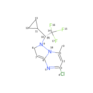 CC1=CC(Cl)=NC2=CCN([C@H](C3CC3)C(F)(F)F)N12